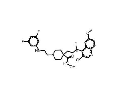 COc1ccc2ncc(Cl)c([C@H](F)CCC3(C(=O)NO)CCN(CCNc4cc(F)cc(F)c4)CC3)c2c1